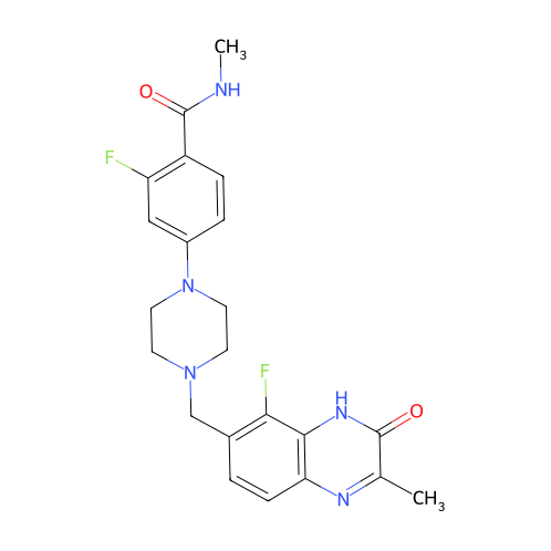 CNC(=O)c1ccc(N2CCN(Cc3ccc4nc(C)c(=O)[nH]c4c3F)CC2)cc1F